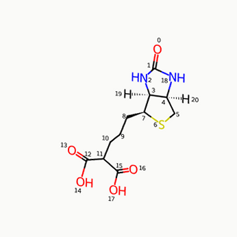 O=C1N[C@H]2[C@H](CS[C@H]2CCCC(C(=O)O)C(=O)O)N1